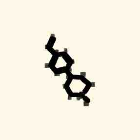 C=Cc1ccc(C2CCN(C)CC2)cc1